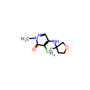 Cn1ncc(NC2(C)CCOC2)c(Cl)c1=O